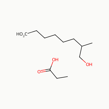 CC(CO)CCCCCC(=O)O.CCC(=O)O